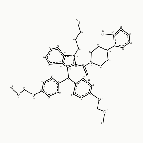 COCOc1ccc(C(c2ccc(OCOC)cc2)c2c(C(=O)N3CCN(c4ccccc4Cl)CC3)n(CCCCl)c3ccccc23)cc1